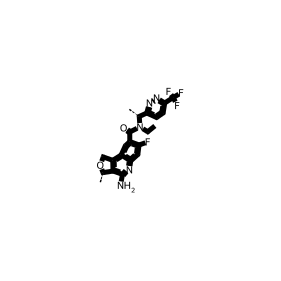 CCN(C(=O)c1cc2c3c(c(N)nc2cc1F)[C@H](C)OC3)[C@H](C)c1ccc(C(F)(F)F)nn1